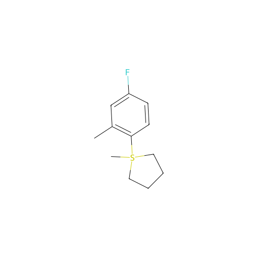 Cc1cc(F)ccc1S1(C)CCCC1